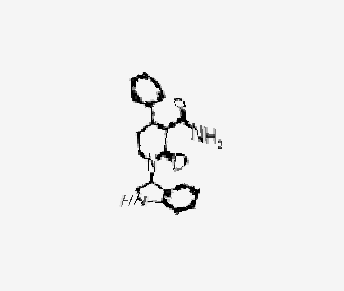 NC(=O)C1C(=O)N(C2CNc3ccccc32)CCC1c1ccccc1